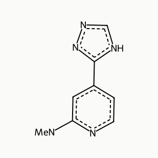 CNc1cc(-c2nnc[nH]2)ccn1